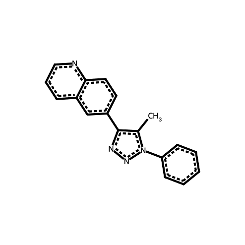 Cc1c(-c2ccc3ncccc3c2)nnn1-c1ccccc1